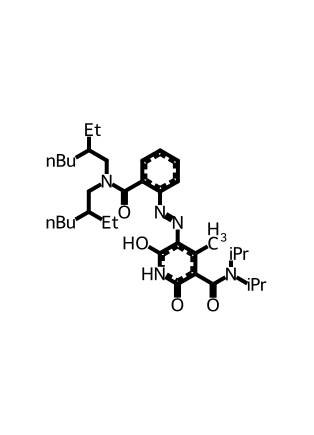 CCCCC(CC)CN(CC(CC)CCCC)C(=O)c1ccccc1/N=N/c1c(O)[nH]c(=O)c(C(=O)N(C(C)C)C(C)C)c1C